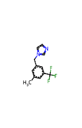 Cc1cc(Cn2ccnc2)cc(C(F)(F)F)c1